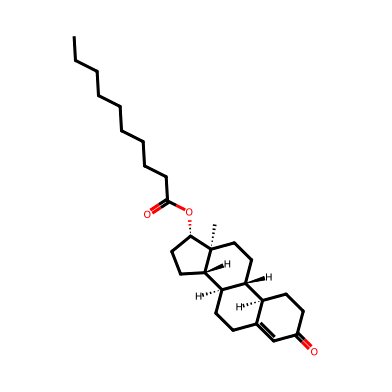 CCCCCCCCCC(=O)O[C@H]1CC[C@H]2[C@@H]3CCC4=CC(=O)CC[C@@H]4[C@H]3CC[C@]12C